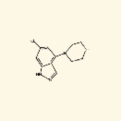 Clc1cc(N2CCNCC2)c2cn[nH]c2c1